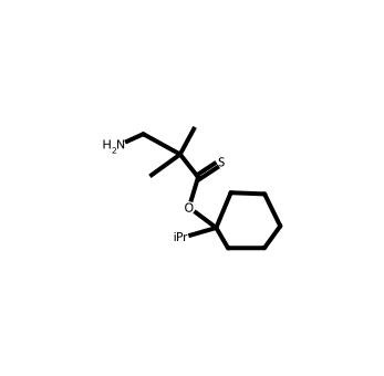 CC(C)C1(OC(=S)C(C)(C)CN)CCCCC1